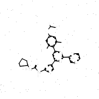 CCC(CC)Oc1cc(C)c(-c2cc(-c3cnc(NC(=O)NC4CCCC4)s3)nc(-c3cnccn3)n2)c(C)c1